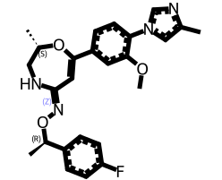 COc1cc(C2=C/C(=N/O[C@H](C)c3ccc(F)cc3)NC[C@H](C)O2)ccc1-n1cnc(C)c1